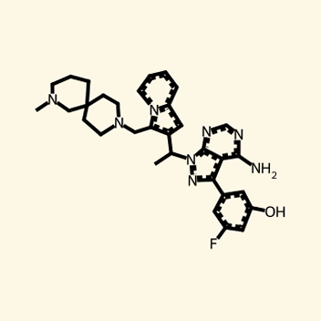 CC(c1cc2ccccn2c1CN1CCC2(CCCN(C)C2)CC1)n1nc(-c2cc(O)cc(F)c2)c2c(N)ncnc21